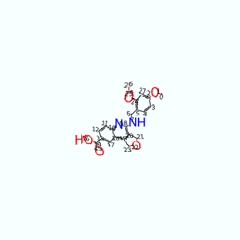 COc1ccc(CNc2nc3ccc(C(=O)O)cc3c3c2COC3)c(OC)c1